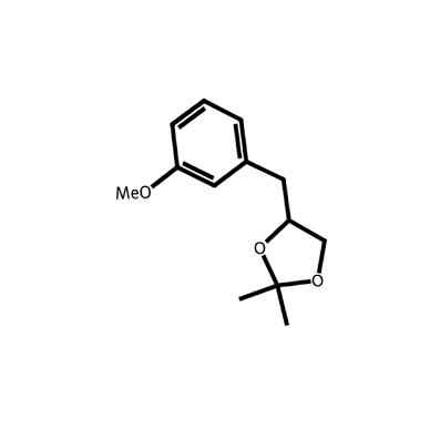 COc1cccc(CC2COC(C)(C)O2)c1